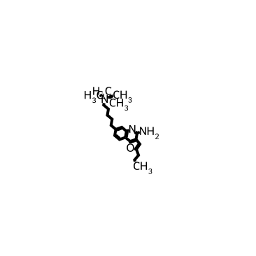 CCCc1cc2c(N)nc3cc(CCCCCN(C)C(C)(C)C)ccc3c2o1